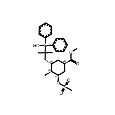 COC(=O)[C@@H]1C[C@@H](CC(C)(C)[Si](O)(c2ccccc2)c2ccccc2)[C@H](C)[C@H](OS(C)(=O)=O)C1